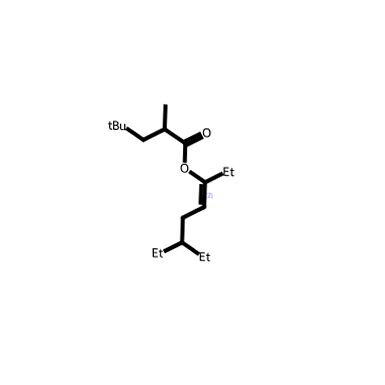 CC/C(=C/CC(CC)CC)OC(=O)C(C)CC(C)(C)C